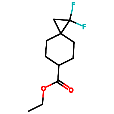 CCOC(=O)C1CCC2(CC1)CC2(F)F